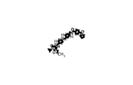 CCCn1c(=O)n(C2CC2)c(=O)c2[nH]c(-c3ccc(NCc4ccc(CNC(=O)c5ccc(C(=O)N6CCCC6)cc5)cc4)nc3)nc21